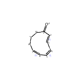 O=C1/C=C/C=C\C=C/CCC1